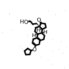 O=C1CC[C@H]2[C@@H]3CCC4=C(CC=C(OC5CCCC5)C4)[C@H]3CC[C@]12CCCO